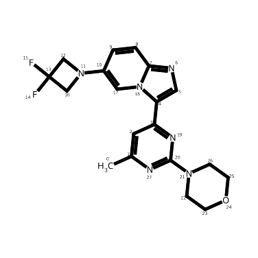 Cc1cc(-c2cnc3ccc(N4CC(F)(F)C4)cn23)nc(N2CCOCC2)n1